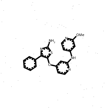 COc1cc(Nc2cc(Oc3sc(N)nc3-c3ccccc3)ccn2)ccn1